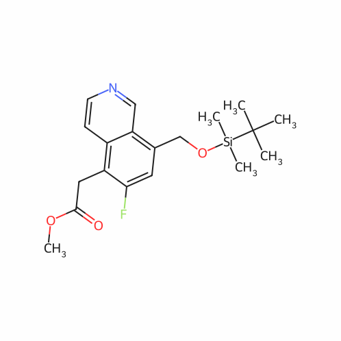 COC(=O)Cc1c(F)cc(CO[Si](C)(C)C(C)(C)C)c2cnccc12